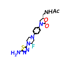 CC(=O)NC[C@H]1CN(c2ccc(N3CCN(c4nnc(N)s4)C(F)C3)cc2)C(=O)O1